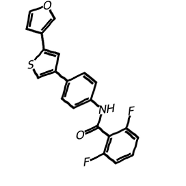 O=C(Nc1ccc(-c2csc(-c3ccoc3)c2)cc1)c1c(F)cccc1F